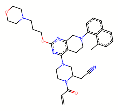 C=CC(=O)N1CCN(c2nc(OCCCN3CCOCC3)nc3c2CCN(c2cccc4cccc(C)c24)C3)CC1CC#N